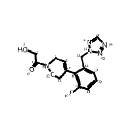 O=C(CO)N1CC=C(c2c(F)cccc2[CH]n2ncnn2)CC1